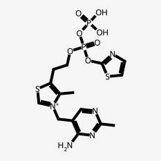 Cc1ncc(C[n+]2csc(CCOP(=O)(Oc3nccs3)OP(=O)(O)O)c2C)c(N)n1